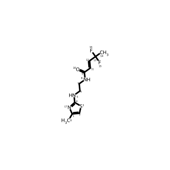 Cc1csc(NCCNC(=O)/C=C/C(C)(F)F)n1